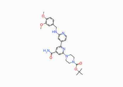 COc1ccc(CNc2cc(-c3cc(C(N)=O)cc(N4CCN(C(=O)OC(C)(C)C)CC4)n3)ccn2)cc1OC